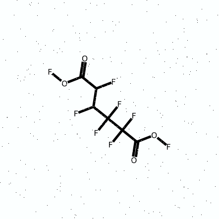 O=C(OF)C(F)C(F)C(F)(F)C(F)(F)C(=O)OF